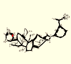 CNC(=O)c1cccc(-n2cc3c(n2)C=C2CC[C@@H]4[C@H](C(=O)C[C@@]5(C)[C@H]4CC[C@@]54OCOC45COCO5)[C@@]2(C)C3)c1